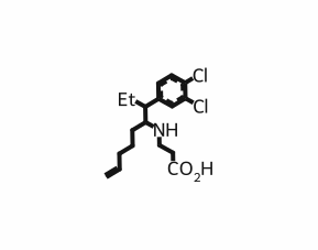 C=CCCCC(NCCC(=O)O)C(CC)c1ccc(Cl)c(Cl)c1